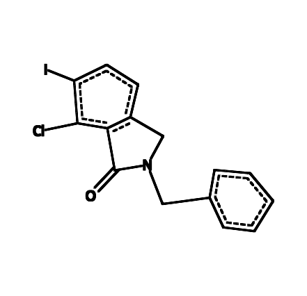 O=C1c2c(ccc(I)c2Cl)CN1Cc1ccccc1